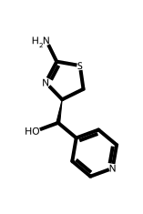 NC1=N[C@H](C(O)c2ccncc2)CS1